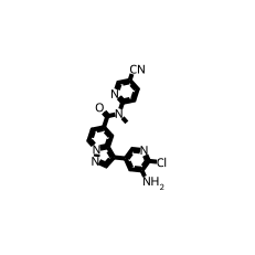 CN(C(=O)c1ccn2ncc(-c3cnc(Cl)c(N)c3)c2c1)c1ccc(C#N)cn1